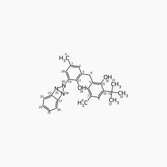 Cc1cc(Cc2cc(C)cc(C(C)(C)C)c2O)c(O)c(-n2n3c4ccccc4n23)c1